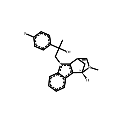 CN1C=C2C[C@H]1c1c2n(CC(C)(O)c2ccc(F)cc2)c2ccccc12